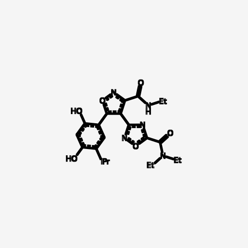 CCNC(=O)c1noc(-c2cc(C(C)C)c(O)cc2O)c1-c1noc(C(=O)N(CC)CC)n1